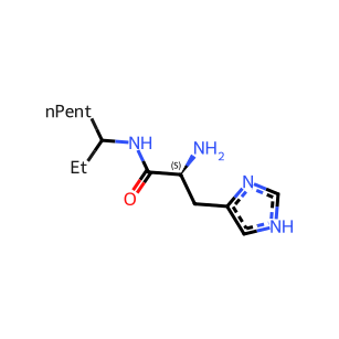 CCCCCC(CC)NC(=O)[C@@H](N)Cc1c[nH]cn1